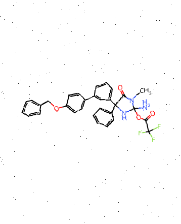 CN1C(=O)C(c2ccccc2)(c2cccc(-c3ccc(OCc4ccccc4)cc3)c2)NC1(N)OC(=O)C(F)(F)F